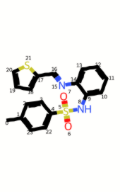 Cc1ccc(S(=O)(=O)Nc2ccccc2/N=C/c2cccs2)cc1